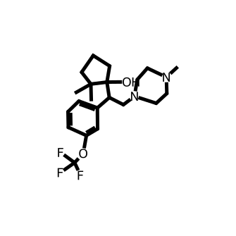 CN1CCN(CC(c2cccc(OC(F)(F)F)c2)C2(O)CCCC2(C)C)CC1